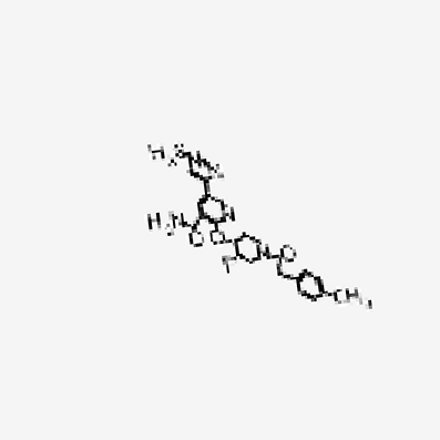 Cc1ccc(CC(=O)N2CC[C@H](Oc3ncc(-c4cn(C)cn4)cc3C(N)=O)[C@H](F)C2)cc1